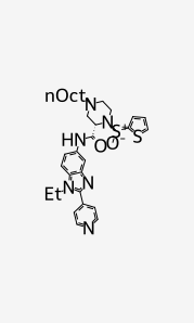 CCCCCCCCN1CCN([S+]([O-])c2cccs2)[C@H](C(=O)Nc2ccc3c(c2)nc(-c2ccncc2)n3CC)C1